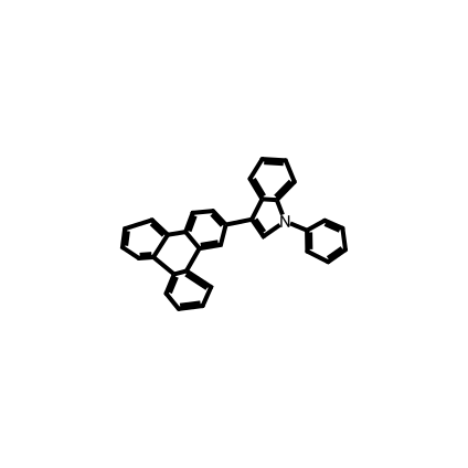 c1ccc(-n2cc(-c3ccc4c5ccccc5c5ccccc5c4c3)c3ccccc32)cc1